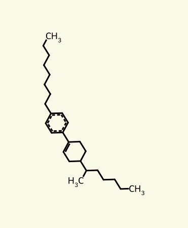 CCCCCCCCc1ccc(C2=CCC(C(C)CCCCC)CC2)cc1